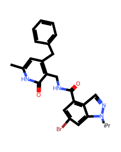 Cc1cc(Cc2ccccc2)c(CNC(=O)c2cc(Br)cc3c2cnn3C(C)C)c(=O)[nH]1